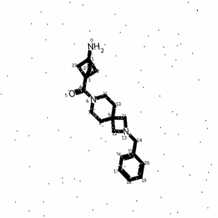 NC12CC(C(=O)N3CCC4(CC3)CN(Cc3ccccc3)C4)(C1)C2